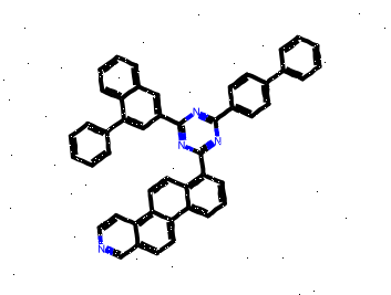 c1ccc(-c2ccc(-c3nc(-c4cc(-c5ccccc5)c5ccccc5c4)nc(-c4cccc5c4ccc4c6ccncc6ccc54)n3)cc2)cc1